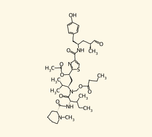 CCCC(=O)OCN(C(=O)[C@@H](NC(=O)[C@H]1CCCCN1C)C(C)CC)[C@H](C[C@@H](OC(C)=O)c1nc(C(=O)N[C@@H](Cc2ccc(O)cc2)C[C@H](C)C=O)cs1)C(C)C